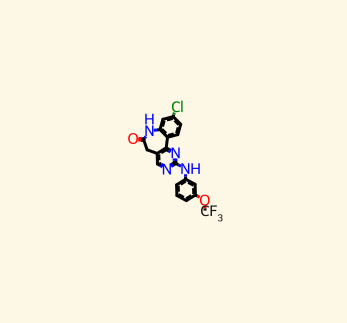 O=C1Cc2cnc(Nc3cccc(OC(F)(F)F)c3)nc2-c2ccc(Cl)cc2N1